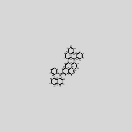 c1ccc(N(c2cc3ccc4ccc(N(c5ccccc5)c5cccc6ccccc56)c5ccc(c2)c3c45)c2cccc3ccccc23)cc1